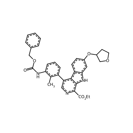 CCOC(=O)c1ncc(-c2cccc(NC(=O)OCc3ccccc3)c2C)c2c1[nH]c1cc(OC3CCOC3)ccc12